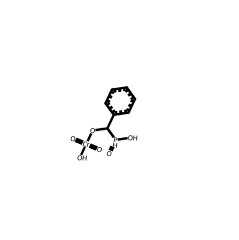 O=[PH](O)C([O][Cr](=[O])(=[O])[OH])c1ccccc1